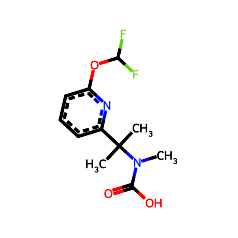 CN(C(=O)O)C(C)(C)c1cccc(OC(F)F)n1